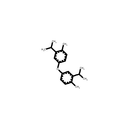 Cc1ccc(Oc2ccc(C)c(C(C)C)c2)cc1C(C)C